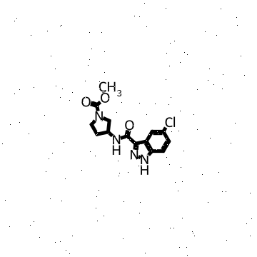 COC(=O)N1CCC(NC(=O)c2n[nH]c3ccc(Cl)cc23)C1